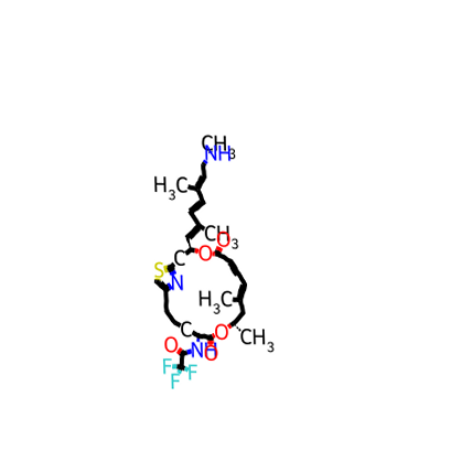 CNC/C=C(C)/C=C/C(C)=C/[C@@H]1Cc2nc(cs2)CCC[C@H](NC(=O)C(F)(F)F)C(=O)O[C@@H](C)C/C(C)=C/C=C\C(=O)O1